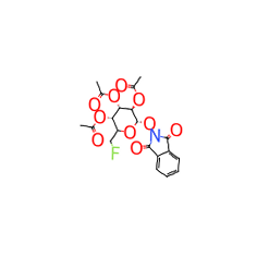 CC(=O)O[C@@H]1[C@@H](OC(C)=O)[C@H](ON2C(=O)c3ccccc3C2=O)OC(CF)[C@@H]1OC(C)=O